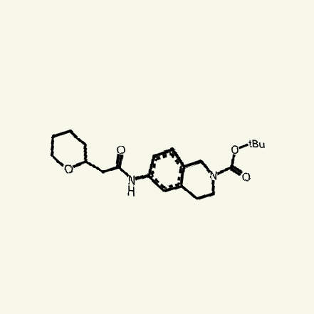 CC(C)(C)OC(=O)N1CCc2cc(NC(=O)CC3CCCCO3)ccc2C1